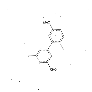 COc1ccc(F)c(-c2cc(F)cc(C=O)c2)c1